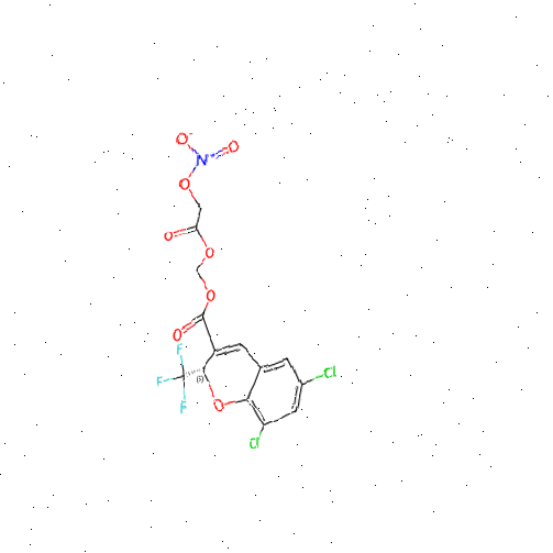 O=C(CO[N+](=O)[O-])OCOC(=O)C1=Cc2cc(Cl)cc(Cl)c2O[C@@H]1C(F)(F)F